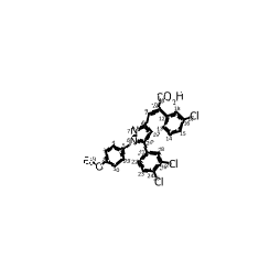 CCOc1ccc(-n2nc(/C=C(/C(=O)O)c3cccc(Cl)c3)cc2-c2ccc(Cl)c(Cl)c2)cc1